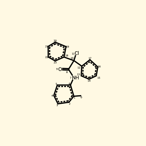 Cc1ccccc1NC(=O)C(Cl)(c1ccccc1)c1ccccc1